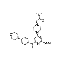 CSc1nc(Nc2ccc(N3CCOCC3)cc2)cc(N2CCN(CC(=O)N(C)C)CC2)n1